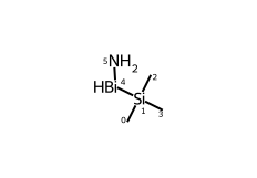 C[Si](C)(C)[BiH][NH2]